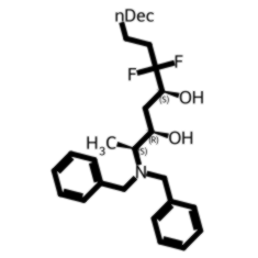 CCCCCCCCCCCCC(F)(F)[C@@H](O)C[C@@H](O)[C@H](C)N(Cc1ccccc1)Cc1ccccc1